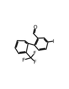 O=Cc1cc(I)ccc1-c1ccccc1C(F)(F)F